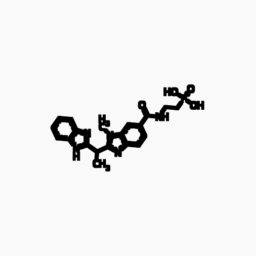 CC(c1nc2ccccc2[nH]1)c1nc2ccc(C(=O)NCCP(=O)(O)O)cc2n1C